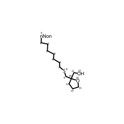 CCCCCCCCCCCCCCCCSCC1(CO)CCCO1